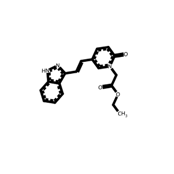 CCOC(=O)Cn1cc(C=Cc2n[nH]c3ccccc23)ccc1=O